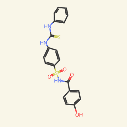 O=C(NS(=O)(=O)c1ccc(NC(=S)Nc2ccccc2)cc1)c1ccc(O)cc1